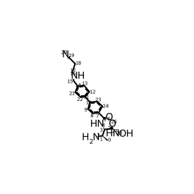 C[C@@H](N)[C@H](NC(=O)c1ccc(-c2ccc(CNCCC#N)cc2)cc1)C(=O)NO